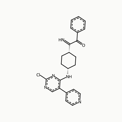 N=C(C(=O)c1ccccc1)[C@H]1CC[C@@H](Nc2nc(Cl)ncc2-c2ccncc2)CC1